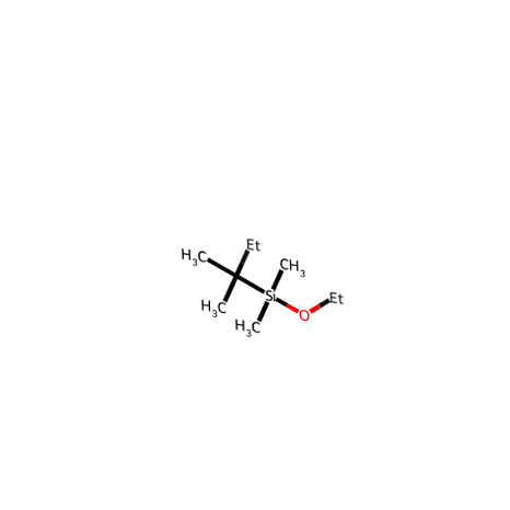 CCO[Si](C)(C)C(C)(C)CC